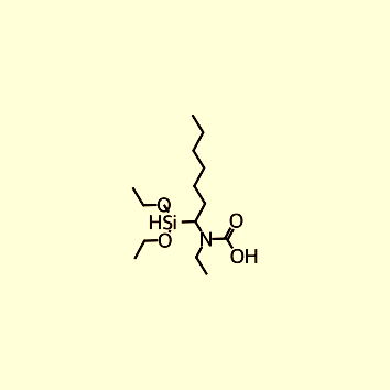 CCCCCCC(N(CC)C(=O)O)[SiH](OCC)OCC